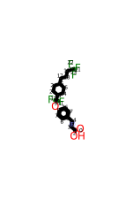 O=C(O)/C=C/c1ccc(OC(F)(F)C2CCC(CCCC(F)(F)F)CC2)cc1